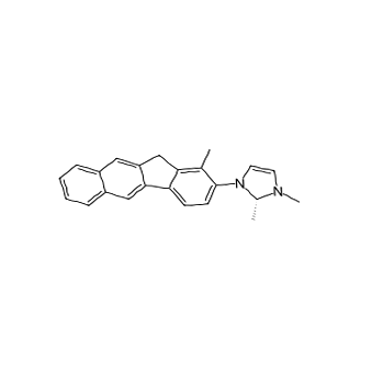 Cc1c(N2C=CN(C)[C@@H]2C)ccc2c1Cc1cc3ccccc3cc1-2